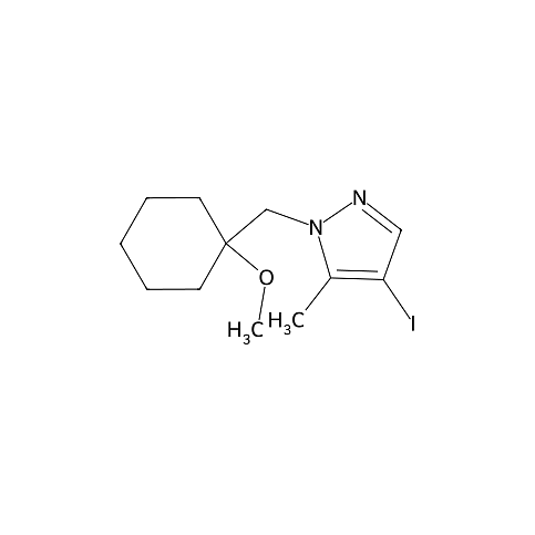 COC1(Cn2ncc(I)c2C)CCCCC1